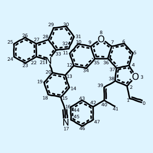 C=Cc1oc2ccc3oc4ccc(-c5cc(C#N)ccc5-n5c6ccccc6c6ccccc65)cc4c3c2c1/C=C(\C)c1ccccc1